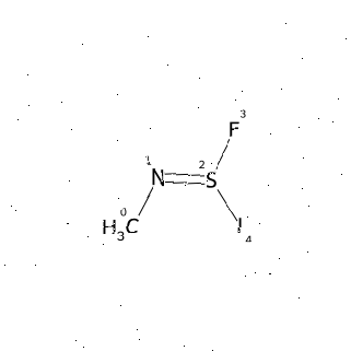 CN=S(F)I